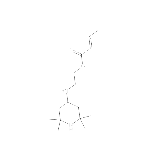 CC=CC(=O)OCCNC1CC(C)(C)NC(C)(C)C1